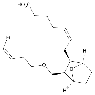 CC/C=C\CCOC[C@H]1[C@@H](C/C=C\CCCC(=O)O)[C@H]2CC[C@@H]1O2